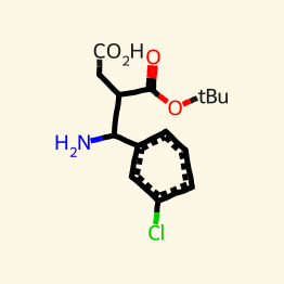 CC(C)(C)OC(=O)C(CC(=O)O)C(N)c1cccc(Cl)c1